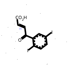 O=C(O)/C=C/C(=O)c1cc(I)ccc1I